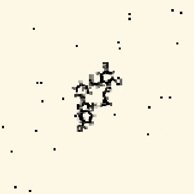 Clc1cc(Cl)c(OCC2CC2)c(CN[C@H]2CCCN(c3nc4nc(Cl)ccc4[nH]3)C2)c1